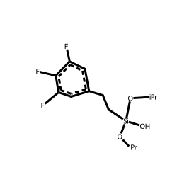 CC(C)O[Si](O)(CCc1cc(F)c(F)c(F)c1)OC(C)C